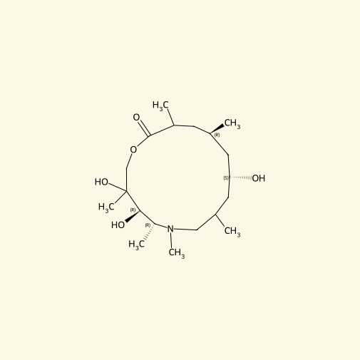 CC1C[C@@H](O)C[C@H](C)CC(C)C(=O)OCC(C)(O)[C@H](O)[C@@H](C)N(C)C1